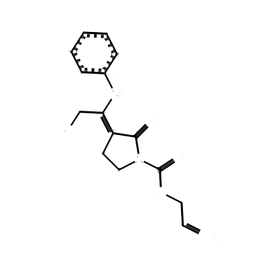 C=CCOC(=O)N1CC/C(=C(\CC)Nc2ccccc2)C1=O